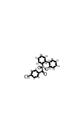 O=C(c1ccc(Cl)cc1)P1(=O)Oc2ccccc2-c2ccccc21